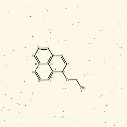 OCOC1C=Cc2cccc3cccc1c23